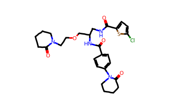 O=C(NC(CNC(=O)c1ccc(Cl)s1)COCCN1CCCCC1=O)c1ccc(N2CCCCC2=O)cc1